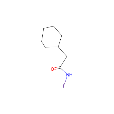 O=C(CC1CCCCC1)NI